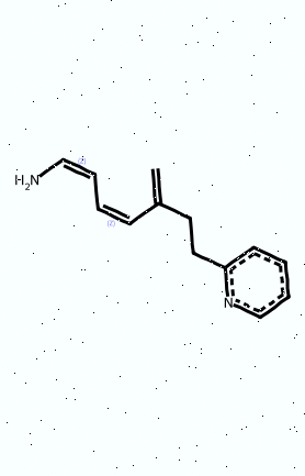 C=C(/C=C\C=C/N)CCc1ccccn1